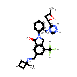 C[C@@H]1C[C@](c2cccc(N3Cc4c(cc(CNC5(C)CCC5)cc4C(F)(F)F)C3=O)c2)(c2nncn2C)O1